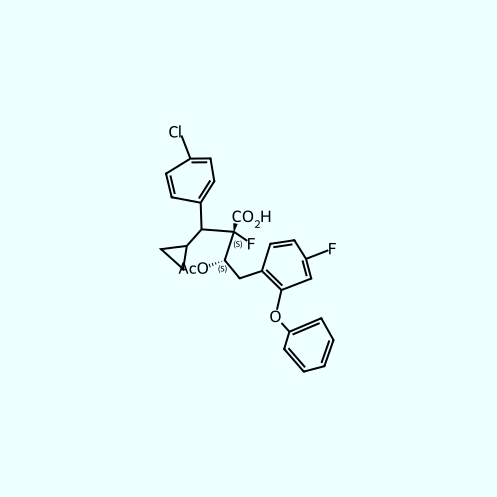 CC(=O)O[C@@H](Cc1ccc(F)cc1Oc1ccccc1)[C@](F)(C(=O)O)C(c1ccc(Cl)cc1)C1CC1